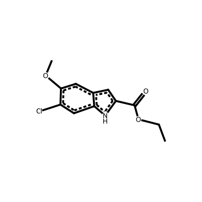 CCOC(=O)c1cc2cc(OC)c(Cl)cc2[nH]1